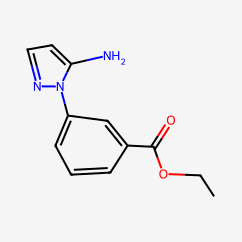 CCOC(=O)c1cccc(-n2nccc2N)c1